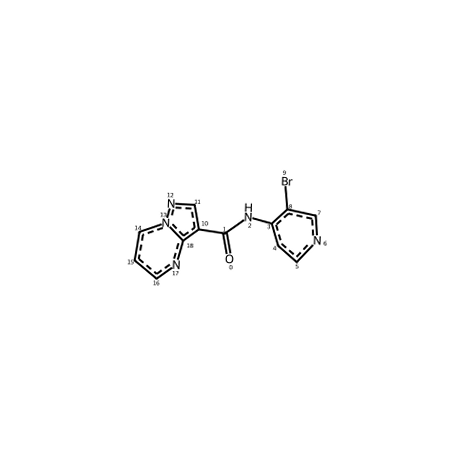 O=C(Nc1ccncc1Br)c1cnn2cccnc12